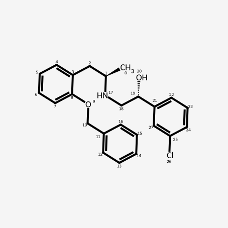 C[C@H](Cc1ccccc1OCc1ccccc1)NC[C@H](O)c1cccc(Cl)c1